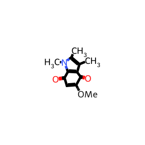 COC1=CC(=O)c2c(c(C)c(C)n2C)C1=O